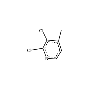 Cc1ccnc(Cl)c1Cl